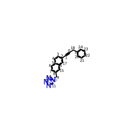 C(#Cc1ccc2ccc(Cn3cnnn3)cc2c1)Cc1ccccc1